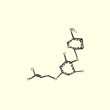 O=[N+]([O-])c1ccc(Oc2c(Cl)cc(OCC=C(Cl)Cl)cc2Cl)nc1